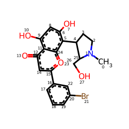 CN1CCC(c2c(O)cc(O)c3c(=O)cc(-c4cccc(Br)c4)oc23)C1CO